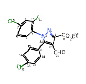 CCOC(=O)c1nn(-c2ccc(Cl)cc2Cl)c(-c2ccc(Cl)cc2)c1C=O